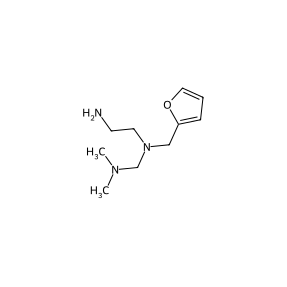 CN(C)CN(CCN)Cc1ccco1